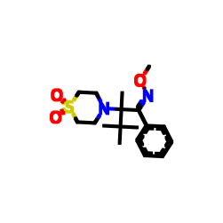 CON=C(c1ccccc1)C(C)(N1CCS(=O)(=O)CC1)C(C)(C)C